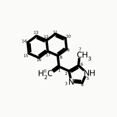 C=C(c1nc[nH]c1C)c1cccc2ccccc12